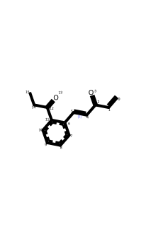 C=CC(=O)/C=C/c1ccccc1C(=O)CC